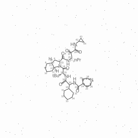 CCC[C@H](NC(=O)[C@@H]1C[C@@H]2CCCC[C@@H]2N1C(=O)[C@@H](NC(=O)C(NC(=O)c1ccncc1)C1CCCCC1)C(C)(C)C)C(=O)C(=O)NC1CC1